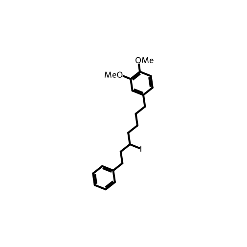 COc1ccc(CCCCC(I)CCc2ccccc2)cc1OC